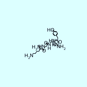 NCCCC[C@H](N)C(=O)NCC(=O)NCC(=O)N[C@@H](Cc1ccc(O)cc1)C(=O)NN